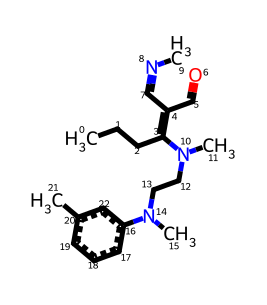 CCC/C(=C(C=O)\C=N/C)N(C)CCN(C)c1cccc(C)c1